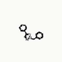 c1ccc(Cn2ncc(-c3ccccc3)n2)cc1